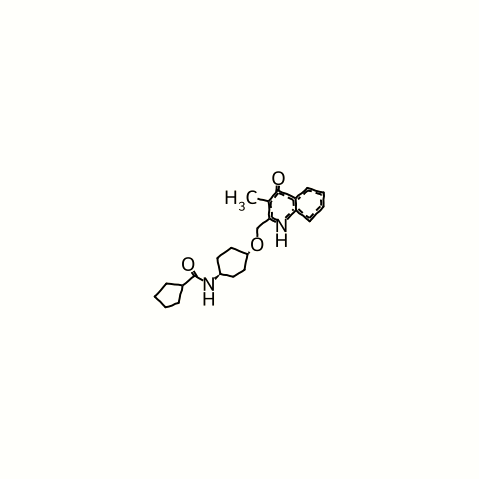 Cc1c(CO[C@H]2CC[C@H](NC(=O)C3CCCC3)CC2)[nH]c2ccccc2c1=O